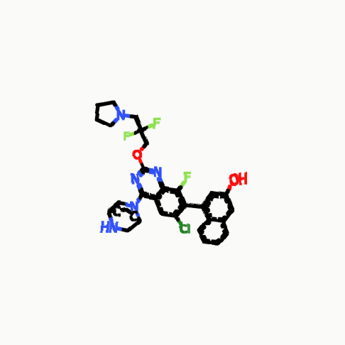 Oc1cc(-c2c(Cl)cc3c(N4CC5CCCC4CN5)nc(OCC(F)(F)CN4CCCC4)nc3c2F)c2ccccc2c1